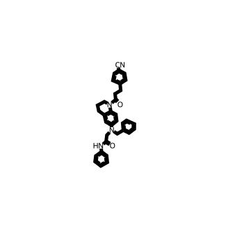 N#Cc1ccc(CCC(=O)N2CCCc3cc(N(CC(=O)Nc4ccccc4)Cc4ccccc4)ccc32)cc1